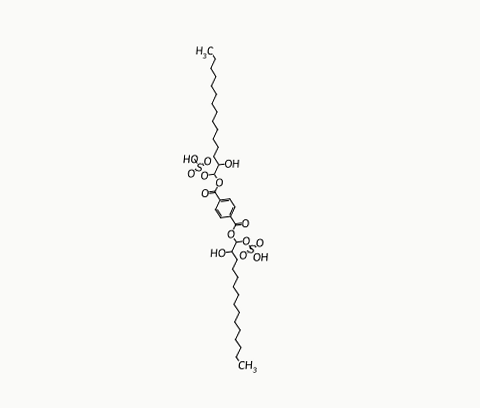 CCCCCCCCCCCCCC(O)C(OC(=O)c1ccc(C(=O)OC(OS(=O)(=O)O)C(O)CCCCCCCCCCCCC)cc1)OS(=O)(=O)O